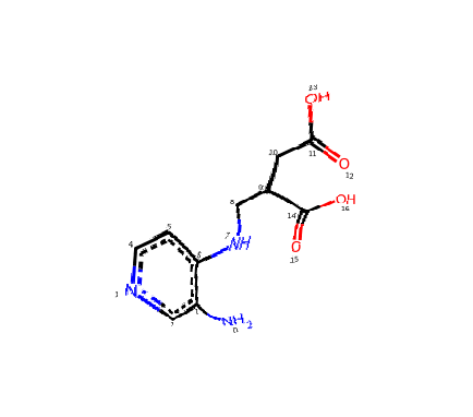 Nc1cnccc1NCC(CC(=O)O)C(=O)O